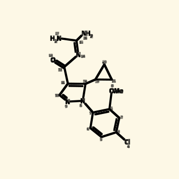 COc1cc(Cl)ccc1-n1ncc(C(=O)N=C(N)N)c1C1CC1